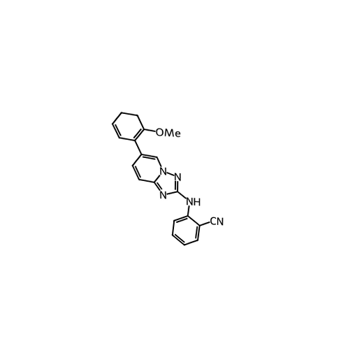 COC1=C(c2ccc3nc(Nc4ccccc4C#N)nn3c2)C=CCC1